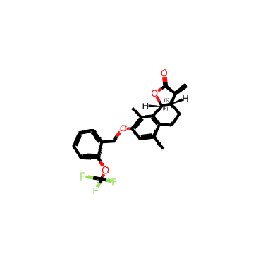 C=C1C(=O)O[C@H]2c3c(C)c(OCc4ccccc4OC(F)(F)F)cc(C)c3CC[C@@H]12